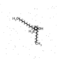 CCCCCCCCCCCCSc1ccc(O)c(CCCCCCCCC)c1C